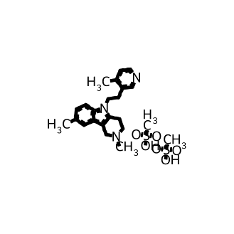 CS(=O)(=O)O.CS(=O)(=O)O.Cc1ccc2c(c1)c1c(n2CCc2cnccc2C)CCN(C)C1